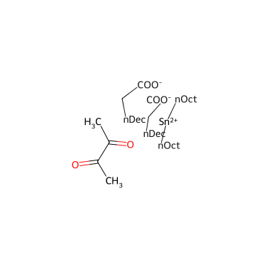 CC(=O)C(C)=O.CCCCCCCCCCCC(=O)[O-].CCCCCCCCCCCC(=O)[O-].CCCCCCC[CH2][Sn+2][CH2]CCCCCCC